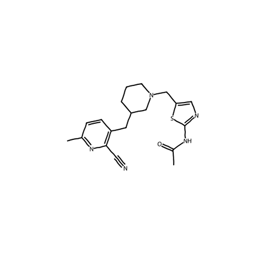 CC(=O)Nc1ncc(CN2CCCC(Cc3ccc(C)nc3C#N)C2)s1